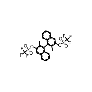 Cc1c(OS(=O)(=O)C(F)(F)F)cc2ccccc2c1-c1c(C)c(OS(=O)(=O)C(F)(F)F)cc2ccccc12